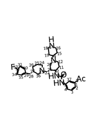 CC(=O)c1cccc(NC(=O)N[C@@H]2CCN(C3CCNCC3)C[C@H]2CN2CCC[C@@H](Cc3ccc(F)cc3)C2)c1